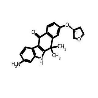 CC1(C)c2cc(O[C@H]3CCOC3)ccc2C(=O)c2c1[nH]c1cc(N)ccc21